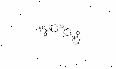 CC(C)(C)OC(=O)N1CCC(Oc2ccc(-n3ccccc3=O)cc2)CC1